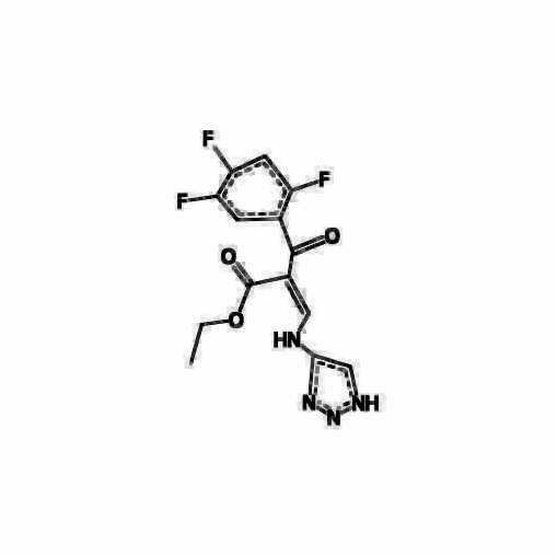 CCOC(=O)C(=CNc1c[nH]nn1)C(=O)c1cc(F)c(F)cc1F